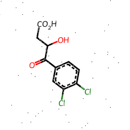 O=C(O)CC(O)C(=O)c1ccc(Cl)c(Cl)c1